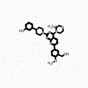 COc1ccc(-c2ccc3c(N4CCOC[C@@H]4C)nc(N4CCC(c5cccc(O)c5)CC4)nc3n2)cc1CO